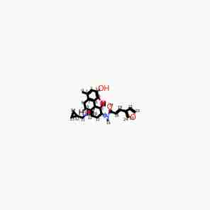 Cc1cc(O)c2c3c1C[C@@H]1[C@@H]4CC[C@H](N(C)C(=O)/C=C/c5ccoc5)[C@H](O2)[C@]34CCN1CC1CC1